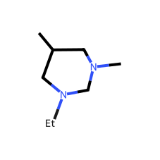 CCN1CC(C)CN(C)C1